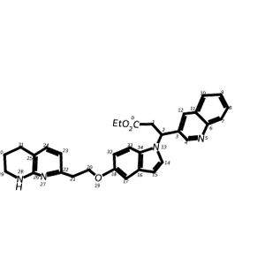 CCOC(=O)CC(c1cnc2ccccc2c1)n1ccc2cc(OCCc3ccc4c(n3)NCCC4)ccc21